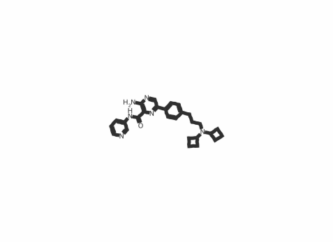 Nc1ncc(-c2ccc(CCCN(C3CCC3)C3CCC3)cc2)nc1C(=O)Nc1cccnc1